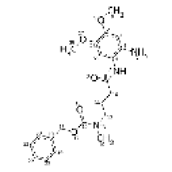 COc1cc(N)c(NC(=O)CCCN(C)C(=O)OCc2ccccc2)cc1OC